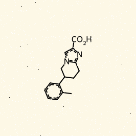 Cc1ccccc1C1CCc2nc(C(=O)O)cn2C1